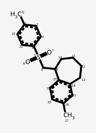 Cc1ccc(S(=O)(=O)CC2CCCCc3cc(C)ccc32)cc1